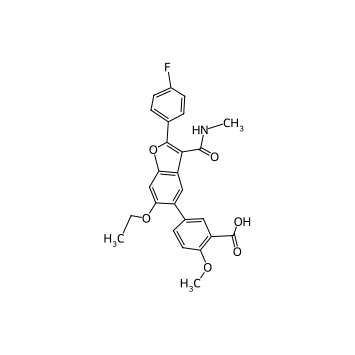 CCOc1cc2oc(-c3ccc(F)cc3)c(C(=O)NC)c2cc1-c1ccc(OC)c(C(=O)O)c1